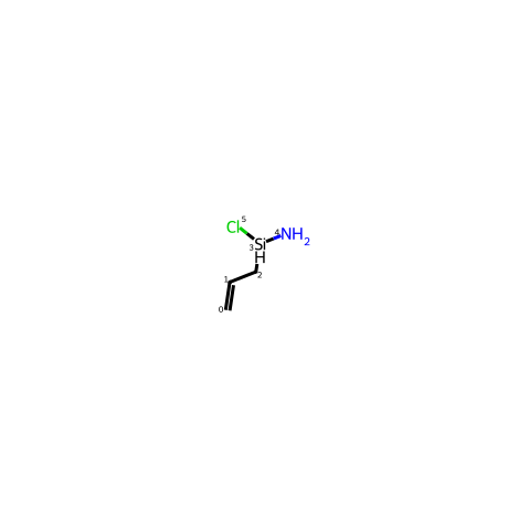 C=CC[SiH](N)Cl